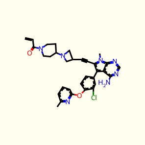 C=CC(=O)N1CCC(N2CC(C#Cc3c(-c4ccc(Oc5cccc(C)n5)c(Cl)c4)c4c(N)ncnc4n3C)C2)CC1